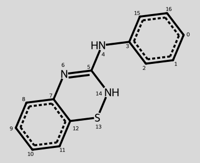 c1ccc(NC2=Nc3ccccc3SN2)cc1